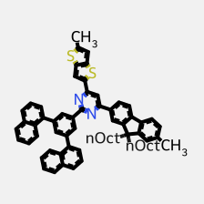 CCCCCCCCC1(CCCCCCCC)c2cc(C)ccc2-c2ccc(-c3cc(-c4cc5sc(C)cc5s4)nc(-c4cc(-c5cccc6ccccc56)cc(-c5cccc6ccccc56)c4)n3)cc21